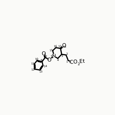 CCOC(=O)CCC1CN(OC(=O)c2ccccc2)CCC1=O